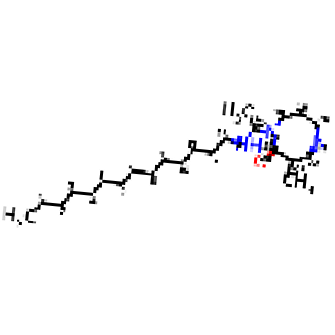 CCCCCCCCCCCCCCNC(C)N1CCC/N=C\C(C)C1=O